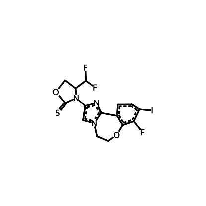 Fc1c(I)ccc2c1OCCn1cc(N3C(=S)OCC3C(F)F)nc1-2